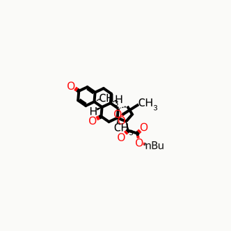 CCCCOC(=O)C(=O)[C@@]12CC[C@@]3(OC(C)O1)[C@@H]1CCC4=CC(=O)C=C[C@]4(C)[C@H]1C(=O)C[C@]23C